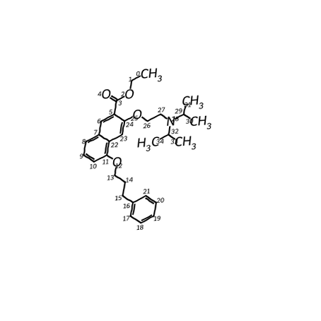 CCOC(=O)c1cc2cccc(OCCCc3ccccc3)c2cc1OCCN(C(C)C)C(C)C